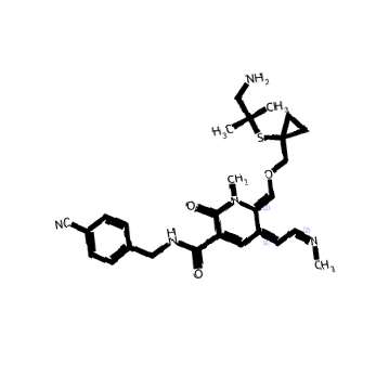 C\N=C/C=c1/cc(C(=O)NCc2ccc(C#N)cc2)c(=O)n(C)/c1=C\OCC1(SC(C)(C)CN)CC1